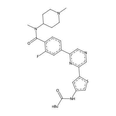 CCCCC(=O)Nc1csc(-c2cncc(-c3ccc(C(=O)N(C)C4CCN(C)CC4)c(F)c3)n2)c1